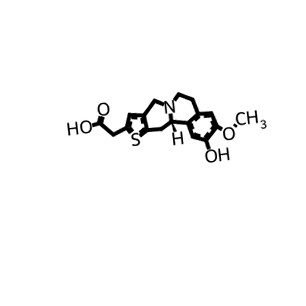 COc1cc2c(cc1O)[C@@H]1Cc3sc(CC(=O)O)cc3CN1CC2